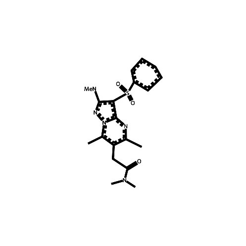 CNc1nn2c(C)c(CC(=O)N(C)C)c(C)nc2c1S(=O)(=O)c1ccccc1